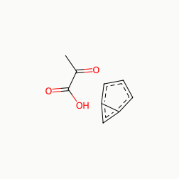 CC(=O)C(=O)O.c1cc2cc-2c1